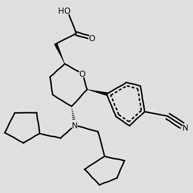 N#Cc1ccc([C@@H]2O[C@H](CC(=O)O)CC[C@H]2N(CC2CCCC2)CC2CCCC2)cc1